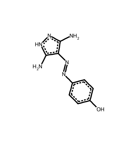 Nc1n[nH]c(N)c1N=Nc1ccc(O)cc1